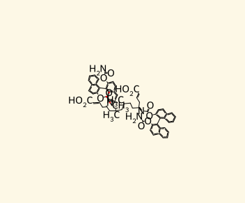 CC(CCC(CC=CC(=O)O)=NC(=O)Oc1ccc2ccccc2c1-c1c(OC(N)=O)ccc2ccccc12)CC(C)(C)CC(CC=CC(=O)O)=NC(=O)Oc1ccc2ccccc2c1-c1c(OC(N)=O)ccc2ccccc12